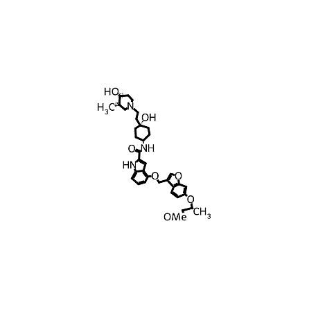 COCC(C)Oc1ccc2c(COc3cccc4[nH]c(C(=O)N[C@H]5CC[C@](O)(CCN6CC[C@H](O)[C@@H](C)C6)CC5)cc34)coc2c1